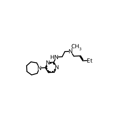 CCC=CCN(C)CCNc1nccc(N2CCCCCC2)n1